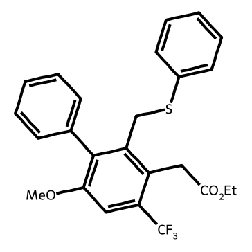 CCOC(=O)Cc1c(C(F)(F)F)cc(OC)c(-c2ccccc2)c1CSc1ccccc1